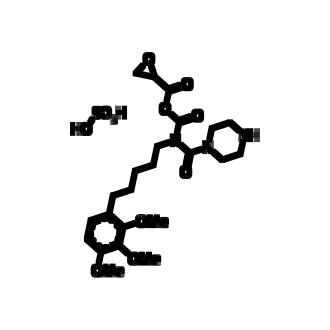 COc1ccc(CCCCCN(C(=O)OC(=O)C2CO2)C(=O)N2CCNCC2)c(OC)c1OC.O=S(=O)(O)O